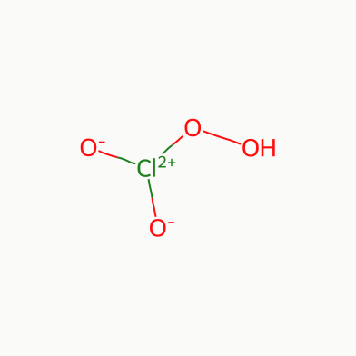 [O-][Cl+2]([O-])OO